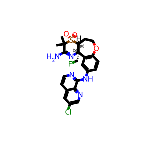 CC1(C)C(N)=N[C@]2(CF)c3cc(Nc4nccc5cc(Cl)cnc45)ccc3OCC[C@H]2S1(=O)=O